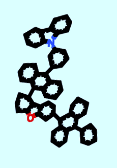 c1ccc(-c2c3ccccc3c(-c3ccc4c(c3)oc3cccc(-c5c6ccccc6c(-c6cccc(-n7c8ccccc8c8ccccc87)c6)c6ccccc56)c34)c3ccccc23)cc1